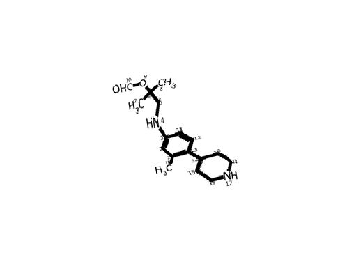 Cc1cc(NCC(C)(C)OC=O)ccc1C1CCNCC1